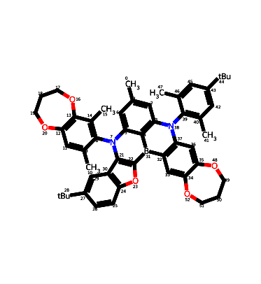 Cc1cc2c3c(c1)N(c1c(C)cc4c(c1C)OCCCO4)c1c(oc4ccc(C(C)(C)C)cc14)B3c1cc3c(cc1N2c1c(C)cc(C(C)(C)C)cc1C)OCCCO3